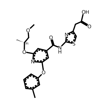 COC[C@@H](C)Oc1cc(C(=O)Nc2nc(CC(=O)O)cs2)cc(Oc2cccc(C)c2)n1